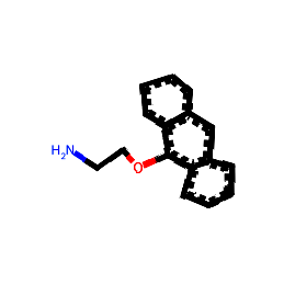 NCCOc1c2ccccc2cc2ccccc12